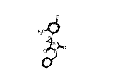 O=C1C[C@@]2(C[C@@H]2c2ccc(F)cc2C(F)(F)F)C(=O)N1Cc1ccccc1